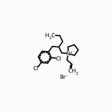 C=CC[N+]1(CC(CCC)Cc2ccc(Cl)cc2Cl)CCCC1.[Br-]